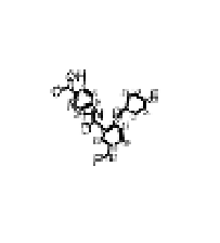 O=C(O)c1ccc(NC(=O)c2cc(CF)ccc2Oc2ccc(F)cc2)cn1